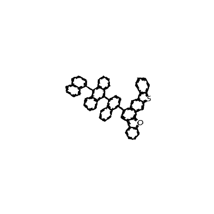 c1ccc2c(-c3c4ccccc4c(-c4ccc(-c5cc6c7ccccc7oc6c6cc7sc8ccccc8c7cc56)c5ccccc45)c4ccccc34)cccc2c1